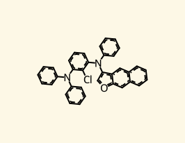 Clc1c(N(c2ccccc2)c2ccccc2)cccc1N(c1ccccc1)c1coc2cc3ccccc3cc12